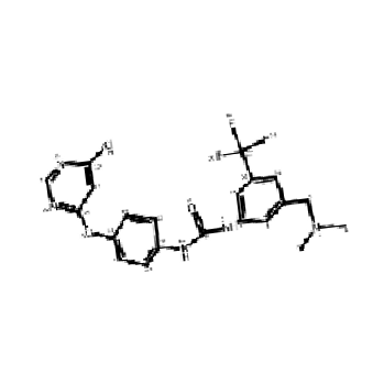 CN(C)Cc1cc(NC(=O)Nc2ccc(Oc3cc(Cl)ncn3)cc2)cc(C(F)(F)F)c1